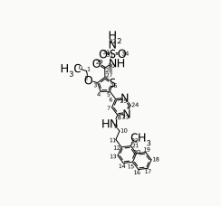 CCOc1cc(-c2cc(NCCc3ccc4ccccc4c3C)ncn2)sc1C(=O)NS(N)(=O)=O